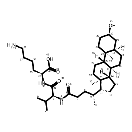 CC(C)[C@H](NC(=O)CC[C@@H](C)[C@H]1CC[C@H]2[C@@H]3CC[C@@H]4C[C@H](O)CC[C@]4(C)[C@H]3CC[C@]12C)C(=O)N[C@@H](CCCCN)C(=O)O